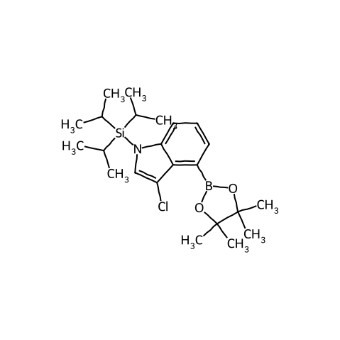 CC(C)[Si](C(C)C)(C(C)C)n1cc(Cl)c2c(B3OC(C)(C)C(C)(C)O3)cccc21